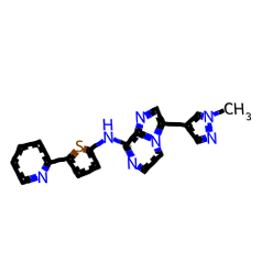 Cn1cc(-c2cnc3c(Nc4ccc(-c5ccccn5)s4)nccn23)cn1